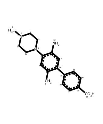 Cc1cc(N2CCN(C)CC2)c(N)cc1-c1ccc(C(=O)O)cc1